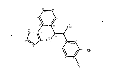 N#CC(c1ccc(Cl)c(Cl)c1)C(O)c1ccccc1-c1cccs1